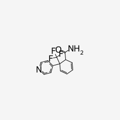 NC(=O)C1C=CC=CC1(c1ccncc1)C(F)(F)F